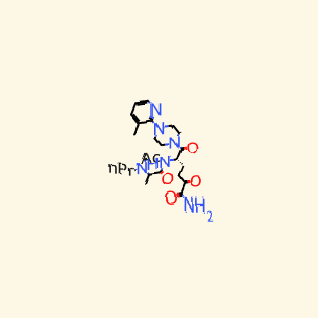 CCCN(C(C)=O)C(C)C(=O)N[C@@H](CCC(=O)C(N)=O)C(=O)N1CCN(c2ncccc2C)CC1